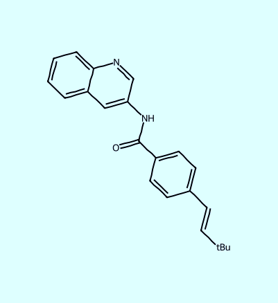 CC(C)(C)C=Cc1ccc(C(=O)Nc2cnc3ccccc3c2)cc1